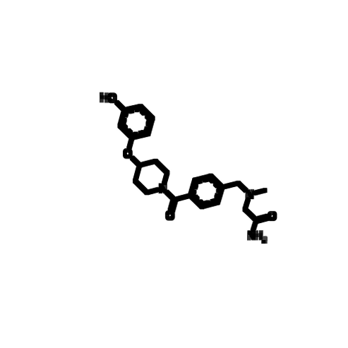 CN(CC(N)=O)Cc1ccc(C(=O)N2CCC(Oc3cccc(O)c3)CC2)cc1